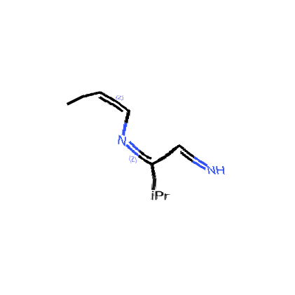 C/C=C\N=C(/C=N)C(C)C